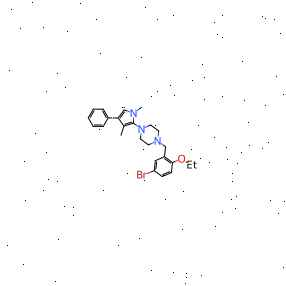 CCOc1ccc(Br)cc1CN1CCN(c2c(C)c(-c3ccccc3)[c]n2C)CC1